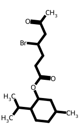 CC(=O)CC(Br)CCC(=O)OC1CC(C)CCC1C(C)C